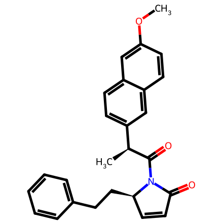 COc1ccc2cc([C@H](C)C(=O)N3C(=O)C=C[C@H]3CCc3ccccc3)ccc2c1